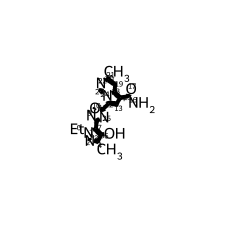 CCn1nc(C)c(O)c1-c1noc(-c2cc(C(N)=O)c3cc(C)ncn23)n1